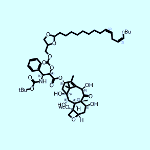 CCCC/C=C\C/C=C\CCCCCCCCC1OCC(COC(=O)O[C@@H](C(=O)O[C@H]2C[C@@]3(O)[C@@H](O)[C@@H]4[C@]5(OC(C)=O)CO[C@@H]5C[C@H](O)[C@@]4(C)C(=O)[C@H](O)C(=C2C)C3(C)C)[C@@H](NC(=O)OC(C)(C)C)c2ccccc2)O1